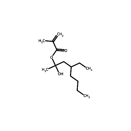 C=C(C)C(=O)OC(C)(O)CC(CC)CCCC